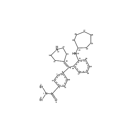 CCN(CC)C(=O)c1ccc(C(=C2CCNCC2)c2ccccc2NC2CCCCCC2)cc1